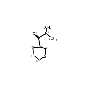 CN(C)C(=O)C1CSSSC1